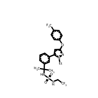 CCn1nc(Oc2ccc(C(F)(F)F)cc2)cc1-c1cccc(C(C)(C)NS(=O)(=O)NCC(F)(F)F)c1